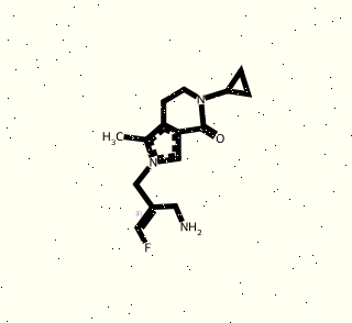 Cc1c2c(cn1C/C(=C/F)CN)C(=O)N(C1CC1)CC2